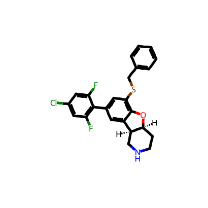 Fc1cc(Cl)cc(F)c1-c1cc(SCc2ccccc2)c2c(c1)[C@@H]1CNCC[C@@H]1O2